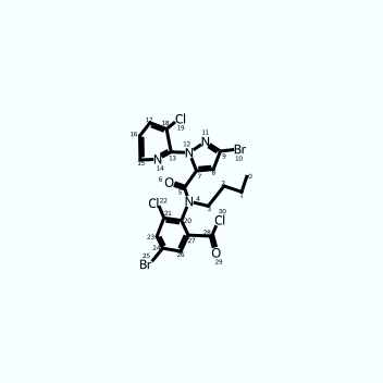 CCCCN(C(=O)c1cc(Br)nn1-c1ncccc1Cl)c1c(Cl)cc(Br)cc1C(=O)Cl